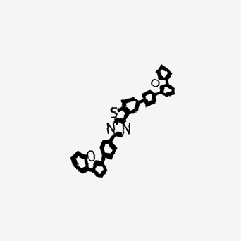 c1ccc2c(c1)oc1c(-c3ccc(-c4ccc5sc6nc(-c7ccc(-c8cccc9c8oc8ccccc89)cc7)cnc6c5c4)cc3)cccc12